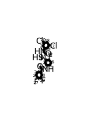 O=C(Nc1ccc(F)c(N(S)C(=O)Nc2cc(Cl)cc(Cl)c2)c1)c1ccc(F)c(F)c1